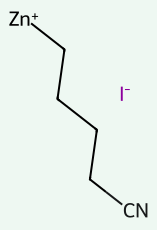 N#CCCC[CH2][Zn+].[I-]